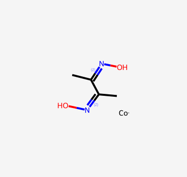 CC(=N/O)/C(C)=N\O.[Co]